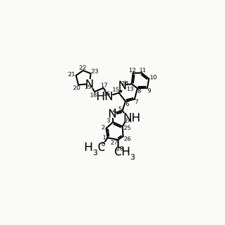 Cc1cc2nc(-c3cc4ccccc4nc3NCCN3CCCC3)[nH]c2cc1C